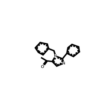 CC(=O)c1cnc(-c2ccccc2)n1Cc1ccccc1